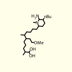 CCCCC1CCC(CCCCC(C)C(CCCC(C)C(O)O)CCOC)N(C)C1N